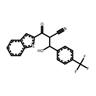 N#CC(C(=O)c1cc2ccccc2s1)C(O)c1ccc(C(F)(F)F)cc1